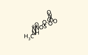 CCN1CCN(C2(C(=O)Nc3ccc4sc5c(-c6cccc7c(=O)cc(N8CCOCC8)oc67)cccc5c4c3)CC2)CC1